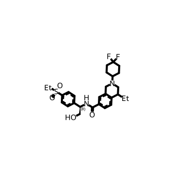 CCC1CN(C2CCC(F)(F)CC2)Cc2cc(C(=O)N[C@@H](CO)c3ccc(S(=O)(=O)CC)cc3)ccc21